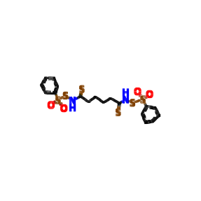 O=S(=O)(SNC(=S)CCCCC(=S)NSS(=O)(=O)c1ccccc1)c1ccccc1